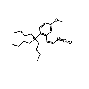 CCC[CH2][Sn]([CH2]CCC)([CH2]CCC)[c]1ccc(OC)cc1C=CN=C=O